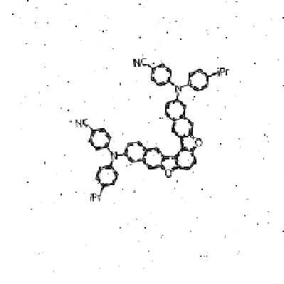 CC(C)c1ccc(N(c2ccc(C#N)cc2)c2ccc3cc4c(cc3c2)oc2ccc3oc5cc6cc(N(c7ccc(C#N)cc7)c7ccc(C(C)C)cc7)ccc6cc5c3c24)cc1